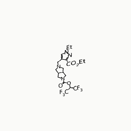 CCOC(=O)c1nn(CC)cc1CN1CC2CN(C(=O)OC(C(F)(F)F)C(F)(F)F)CC2C1